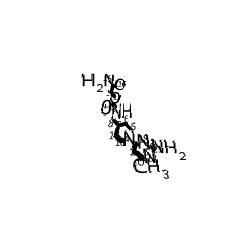 Cc1cc(N2CCC(CNC(=O)OCC(N)=O)CC2)nc(N)n1